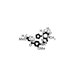 COc1cc(C(=O)NCC(C)(C)OC)ccc1Nc1ncc2c(n1)N(C1CCCC1)CC(C)(C)C(=O)N2C